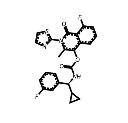 Cc1c(OC(=O)N[C@H](c2cccc(F)c2)C2CC2)c2cccc(F)c2c(=O)n1-c1nccs1